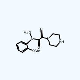 COc1ccccc1N(OC)C(=O)C(=O)N1CCNCC1